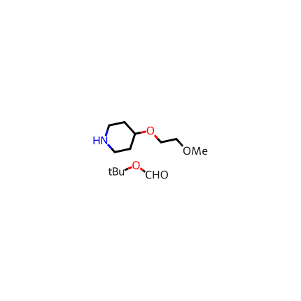 CC(C)(C)OC=O.COCCOC1CCNCC1